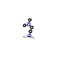 Cc1cc(C)nc(-c2ccc(-c3cccc(-c4nc(-c5ccccc5)nc(-c5ccccc5)n4)c3)cc2)n1